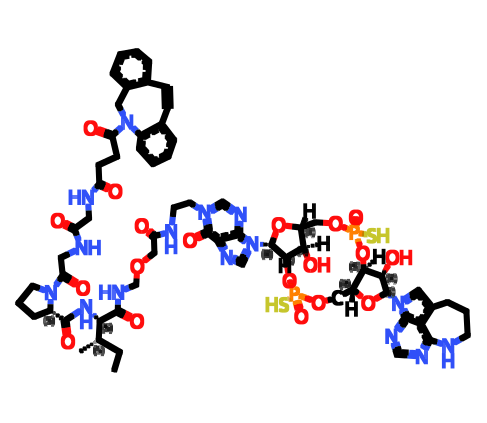 CC[C@H](C)[C@H](NC(=O)[C@@H]1CCCN1C(=O)CNC(=O)CNC(=O)CCC(=O)N1Cc2ccccc2C#Cc2ccccc21)C(=O)NCOCC(=O)NCCn1cnc2c(ncn2[C@@H]2O[C@@H]3COP(=O)(S)O[C@H]4[C@@H](O)[C@H](n5cc6c7c(ncnc75)NCCC6)O[C@@H]4COP(=O)(S)O[C@@H]2[C@@H]3O)c1=O